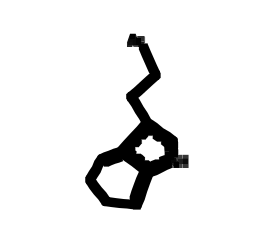 CC(=O)CCc1c[nH]c2c1=CCCC=2